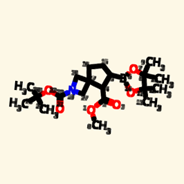 COC(=O)C1C(B2OC(C)(C)C(C)(C)O2)CCC12CN(C(=O)OC(C)(C)C)C2